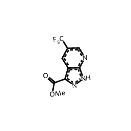 COC(=O)c1n[nH]c2ncc(C(F)(F)F)cc12